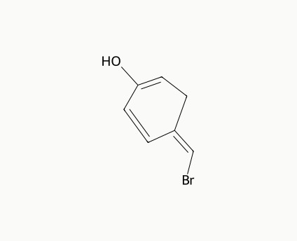 OC1=CCC(=CBr)C=C1